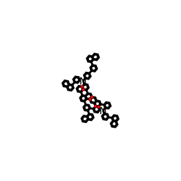 c1ccc(-c2ccc(-c3ccc(-c4cccc5ccccc45)c(-c4ccc(N(c5cccc(-c6cccc7ccccc67)c5)c5ccccc5-c5ccc6ccccc6c5)cc4)c3)c3cccc(-c4ccc(N(c5ccc(-c6cccc(-c7cccc8ccccc78)c6)cc5)c5cccc(-c6cccc7ccccc67)c5)cc4)c23)cc1